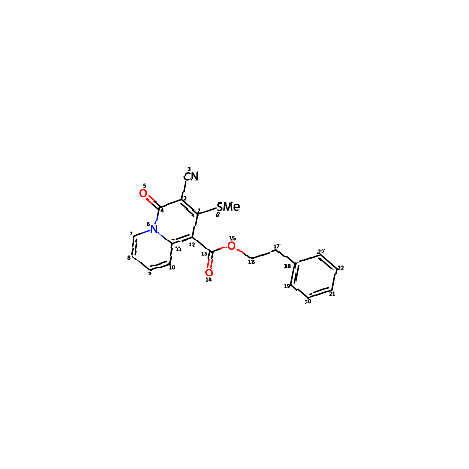 CSc1c(C#N)c(=O)n2ccccc2c1C(=O)OCCc1ccccc1